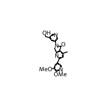 COc1cc(-c2cc(C)c3c(n2)CN(c2cncc(CO)c2)C3=O)cnc1OC